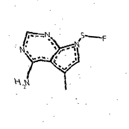 Cc1cn(SF)c2ncnc(N)c12